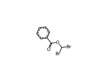 O=C(OC(Br)Br)c1ccccc1